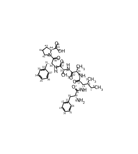 CC[C@H](C)[C@H](NC(=O)[C@H](N)Cc1ccccc1)C(=O)N[C@H](C)C(=O)N[C@@H](C)C(=O)N[C@H](Cc1ccccc1)C(=O)N1CCC[C@H]1C(=O)O